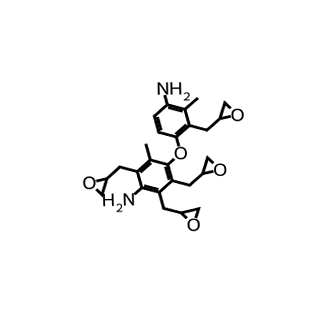 Cc1c(N)ccc(Oc2c(C)c(CC3CO3)c(N)c(CC3CO3)c2CC2CO2)c1CC1CO1